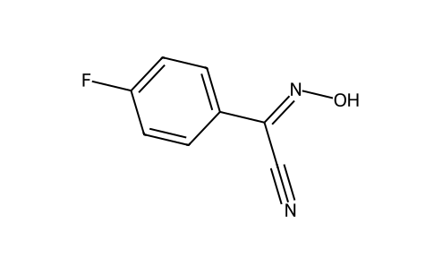 N#CC(=NO)c1ccc(F)cc1